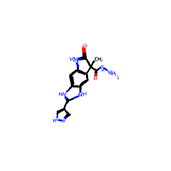 CC1(C(=O)NN)C(=O)Nc2cc3c(cc21)NC(c1cn[nH]c1)N3